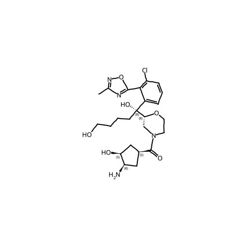 Cc1noc(-c2c(Cl)cccc2[C@](O)(CCCCO)[C@H]2CN(C(=O)[C@H]3C[C@@H](N)[C@@H](O)C3)CCO2)n1